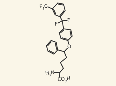 NC(CCCC(Oc1ccc(C(F)(F)c2cccc(C(F)(F)F)c2)cc1)c1ccccc1)C(=O)O